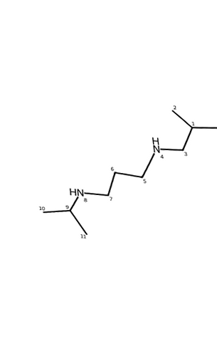 CC(C)CNCCCNC(C)C